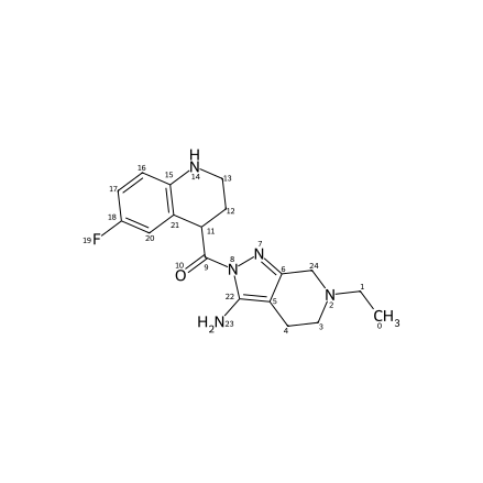 CCN1CCc2c(nn(C(=O)C3CCNc4ccc(F)cc43)c2N)C1